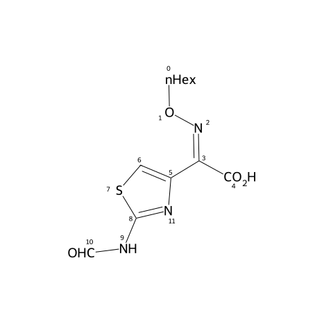 CCCCCCO/N=C(/C(=O)O)c1csc(NC=O)n1